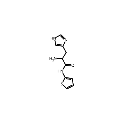 NC(Cc1c[nH]cn1)C(=O)Nc1cccs1